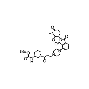 CC(C)(C)OC(=O)NC1CCCN(C(=O)CCN2CCN(c3cccc4c3C(=O)N(C3CCC(=O)NC3=O)C4=O)CC2)C1